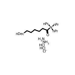 CCCCCCCCCCCCCCCC(=O)[N+](CCC)(CCC)CCC.Cl.Cl.N.N.[Cl-]